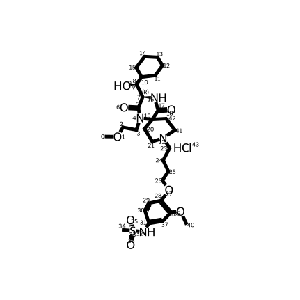 COCCN1C(=O)[C@@H]([C@H](O)C2CCCCC2)NC(=O)C12CCN(CCCCOc1ccc(NS(C)(=O)=O)cc1OC)CC2.Cl